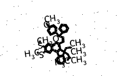 COc1ccc(C2(c3ccccc3)C=Cc3c4c(c5cc(SC)c(SC)cc5c3O2)-c2ccccc2C4(CC(C)C)CC(C)C)cc1